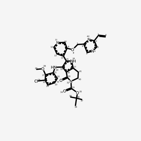 C=Cc1cncc(COc2cnccc2-c2[nH]c3c(c2Nc2cccc(Cl)c2OC)C(=O)N(C(=O)OC(C)(C)C)CC3)n1